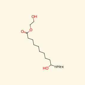 CCCCCCC(O)CCCCCCCCC(=O)OCCO